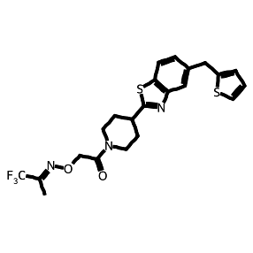 CC(=NOCC(=O)N1CCC(c2nc3cc(Cc4cccs4)ccc3s2)CC1)C(F)(F)F